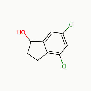 OC1CCc2c(Cl)cc(Cl)cc21